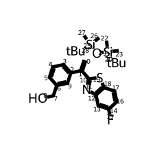 C=C(c1cccc(CO)c1)c1nc2cc(F)ccc2s1.CC(C)(C)[Si](C)(C)O[Si](C)(C)C(C)(C)C